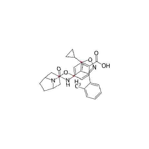 Cc1ccccc1-c1noc(C2CC2)c1COC1CC2CCC(C1)N2C(=O)Nc1ccc(C(=O)O)cc1